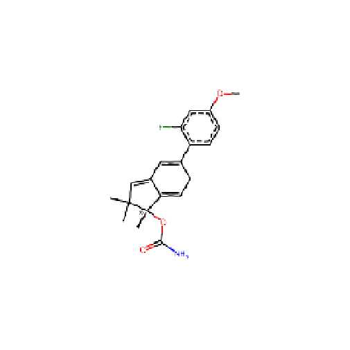 COc1ccc(C2=CC3=CC(C)(C)[C@@](C)(OC(N)=O)C3=CC2)c(F)c1